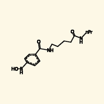 CCCNC(=O)CCCCNC(=O)c1ccc(BO)cc1